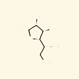 C[C@H]1O[C@H]([C@H](O)CO)[C@H](O)[C@@H]1O